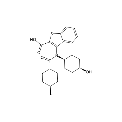 C[C@H]1CC[C@H](C(=O)N(c2c(C(=O)O)sc3ccccc23)[C@H]2CC[C@@H](O)CC2)CC1